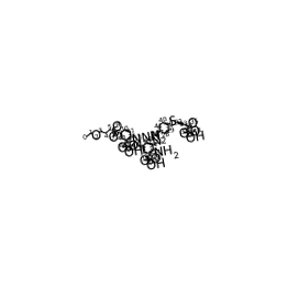 CCOCCCS(=O)(=O)c1ccc(N=Nc2cc(S(=O)(=O)O)c(N)c(N=Nc3ccc(SC#CC(=O)S(=O)(=O)O)cc3)c2N)c(S(=O)(=O)O)c1